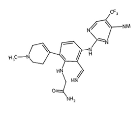 CNc1nc(Nc2ccc(C3=CCN(C)CC3)c(NCC(N)=O)c2C=N)ncc1C(F)(F)F